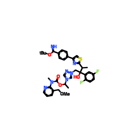 COCc1cccnc1N(C)C(=O)OC(C)[n+]1cnn(CC(O)(c2cc(F)ccc2F)C(C)c2nc(-c3ccc(C(=N)OC(C)(C)C)cc3)cs2)c1